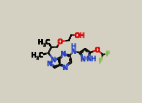 C[C@@H](COCCO)[C@H](C)n1ncc2ncc(Nc3cc(OC(F)F)[nH]n3)nc21